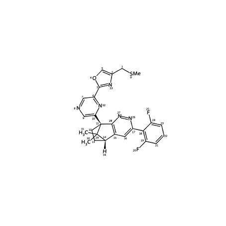 CSCc1coc(-c2cncc([C@@]34CC[C@@H](c5cc(-c6c(F)cccc6F)nnc53)C4(C)C)n2)n1